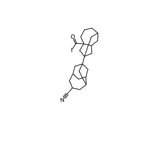 N#CC1CC2CC3CC(C45CC6CCCC(C(=O)I)(C4)C(C6)C5)(C2)CC3C1